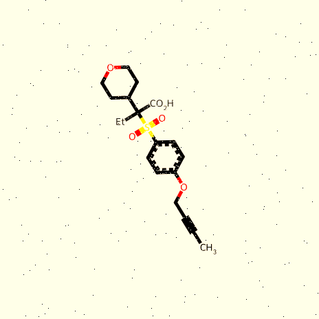 CC#CCOc1ccc(S(=O)(=O)C(CC)(C(=O)O)C2CCOCC2)cc1